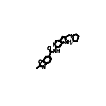 Cc1nc2ccc(C(=O)Nc3cc4[nH]c(CN5CCC[C@@H]5C)cc4cn3)cc2o1